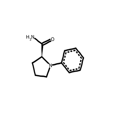 NC(=O)[C@@H]1CCCN1c1ccccc1